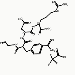 C=CCNC(=O)C(Cc1ccc(C(=N)N)cc1)C(=O)N[C@@H](CC(=O)O)C(=O)N[C@@H](CCCNC(=N)N)C(N)=O.O=C(O)C(F)(F)F